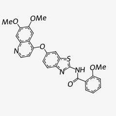 COc1cc2nccc(Oc3ccc4nc(NC(=O)c5ccccc5OC)sc4c3)c2cc1OC